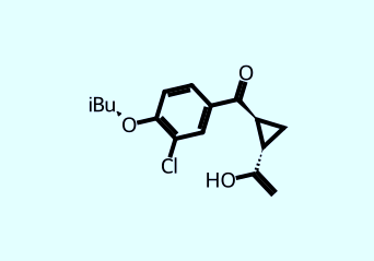 C=C(O)[C@H]1C[C@@H]1C(=O)c1ccc(O[C@@H](C)CC)c(Cl)c1